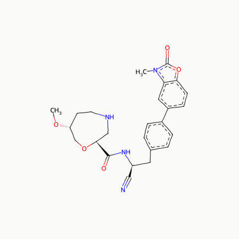 CO[C@@H]1CCNC[C@@H](C(=O)N[C@H](C#N)Cc2ccc(-c3ccc4oc(=O)n(C)c4c3)cc2)OC1